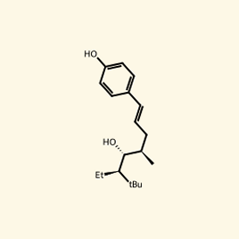 CC[C@@H]([C@H](O)[C@H](C)C/C=C/c1ccc(O)cc1)C(C)(C)C